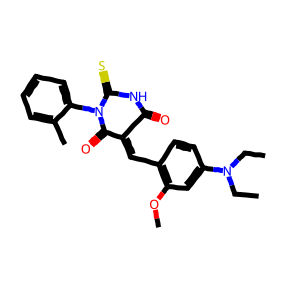 CCN(CC)c1ccc(C=C2C(=O)NC(=S)N(c3ccccc3C)C2=O)c(OC)c1